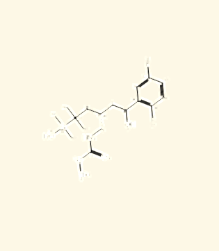 CC(C)(C)OC(=O)NC[C@@H](CC(O)c1cc(F)ccc1F)CC(C)(C)[Si](C)(C)O